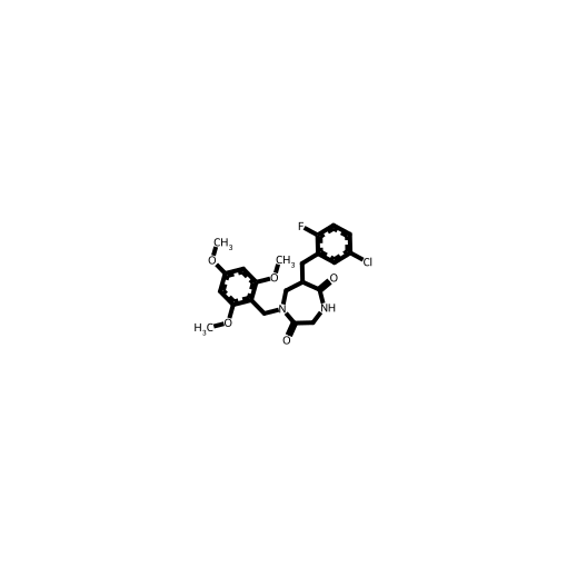 COc1cc(OC)c(CN2CC(Cc3cc(Cl)ccc3F)C(=O)NCC2=O)c(OC)c1